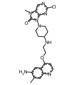 Cc1cc2nccc(OCCNC3CCN(n4c(=O)n(C)c5cnc(Cl)nc54)CC3)c2cc1N